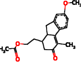 COc1ccc2c(c1)CC1C2=C(C)C(=O)CC1CCOC(C)=O